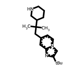 CC(C)(C)c1cn2ccc(CC(C)(C)C3CCCNC3)cc2n1